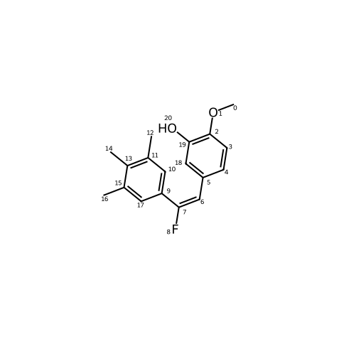 COc1ccc(/C=C(/F)c2cc(C)c(C)c(C)c2)cc1O